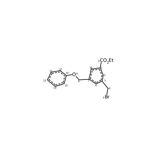 CCOC(=O)c1cc(CBr)cc(COc2ccccc2)c1